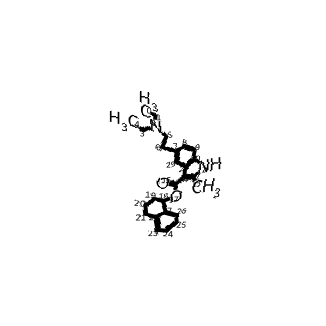 CCN(CC)CCc1ccc2[nH]c(C)c(C(=O)OC3CCCc4ccccc43)c2c1